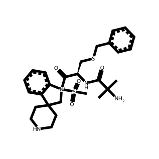 CC(C)(N)C(=O)N[C@H](CSCc1ccccc1)C(=O)[N+]1(S(C)(=O)=O)CC2(CCNCC2)c2ccccc21